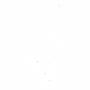 C=C(C)C(=O)OCCC(CCOC(=O)C(C)(C)CO)CC1CCC(c2ccc(CC/C=C/C)cc2)CC1